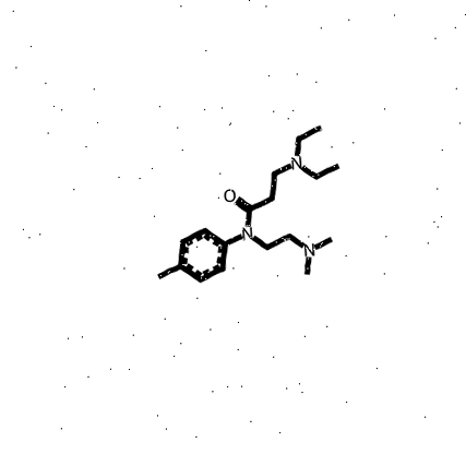 CCN(CC)CCC(=O)N(CCN(C)C)c1ccc(C)cc1